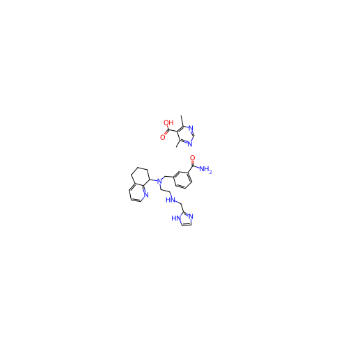 Cc1ncnc(C)c1C(=O)O.NC(=O)c1cccc(CN(CCNCc2ncc[nH]2)C2CCCc3cccnc32)c1